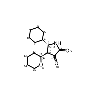 O=C1N[C@@H](C2CCCCC2)C([C@@H]2CCCCO2)C1=O